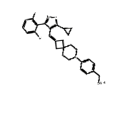 O=C(O)Cc1ccc(N2CCC3(CC2)CC(=Cc2c(-c4c(Cl)cccc4Cl)noc2C2CC2)C3)cc1